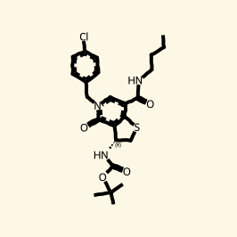 CCCCNC(=O)c1cn(Cc2ccc(Cl)cc2)c(=O)c2c1SC[C@@H]2NC(=O)OC(C)(C)C